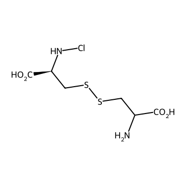 NC(CSSC[C@H](NCl)C(=O)O)C(=O)O